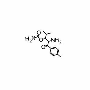 Cc1ccc(C(=O)C(N)C(OC(N)=O)C(C)C)cc1